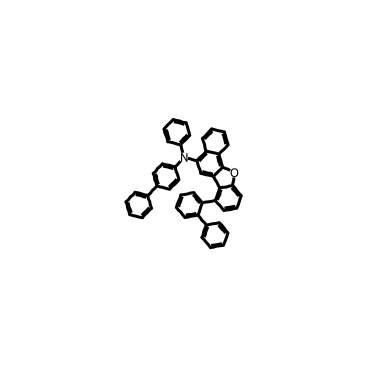 c1ccc(-c2ccc(N(c3ccccc3)c3cc4c(oc5cccc(-c6ccccc6-c6ccccc6)c54)c4ccccc34)cc2)cc1